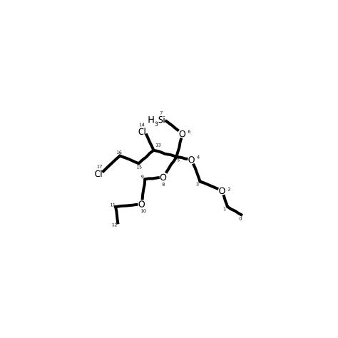 CCOCOC(O[SiH3])(OCOCC)C(Cl)CCCl